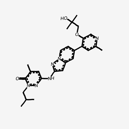 Cc1cc(-c2ccn3nc(Nc4cc(C)c(=O)n(CC(C)C)n4)cc3c2)c(OCC(C)(C)O)cn1